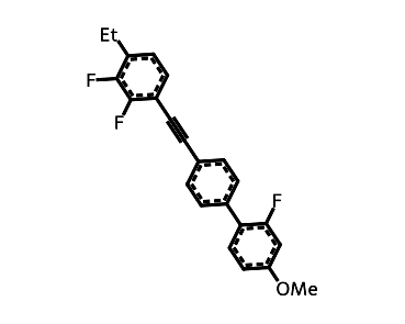 CCc1ccc(C#Cc2ccc(-c3ccc(OC)cc3F)cc2)c(F)c1F